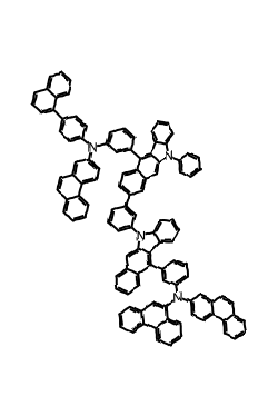 c1ccc(-n2c3ccccc3c3c(-c4cccc(N(c5ccc(-c6cccc7ccccc67)cc5)c5ccc6c(ccc7ccccc76)c5)c4)c4ccc(-c5cccc(-n6c7ccccc7c7c(-c8cccc(N(c9ccc%10c(ccc%11ccccc%11%10)c9)c9cc%10ccccc%10c%10ccccc9%10)c8)c8ccccc8cc76)c5)cc4cc32)cc1